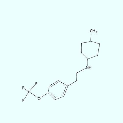 CC1CCC(NCCc2ccc(OC(F)(F)F)cc2)CC1